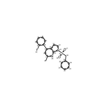 Cc1cc(-c2ccccc2F)c2ccn(S(=O)(=O)Cc3ccccc3)c2n1